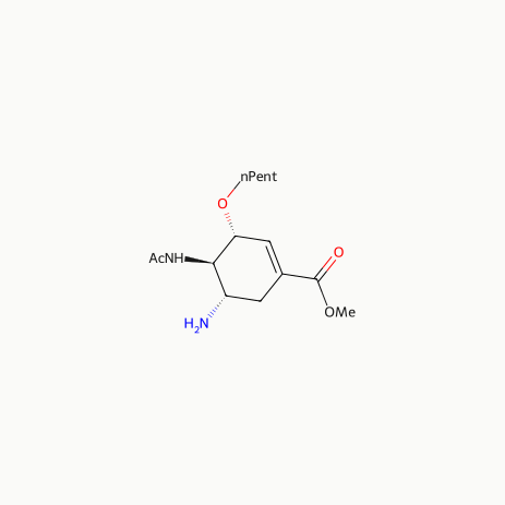 CCCCCO[C@@H]1C=C(C(=O)OC)C[C@H](N)[C@H]1NC(C)=O